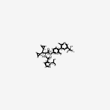 Cc1ncc(C(F)(F)F)cc1-c1ccc(NC(=O)[C@@H](NC(=O)c2ccnn2C(C)C)C(C2CC2)C2CC2)nc1F